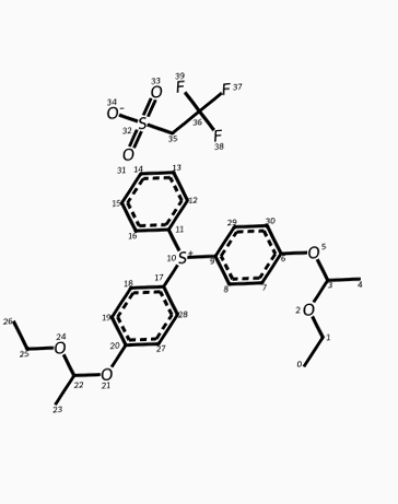 CCOC(C)Oc1ccc([S+](c2ccccc2)c2ccc(OC(C)OCC)cc2)cc1.O=S(=O)([O-])CC(F)(F)F